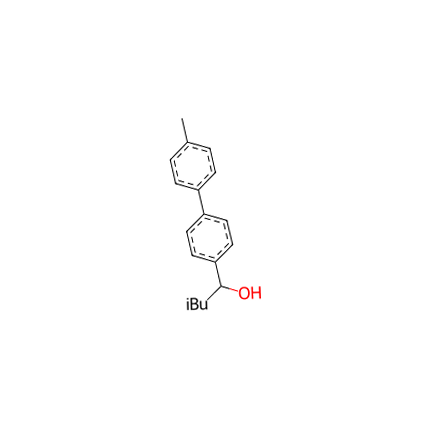 CCC(C)C(O)c1ccc(-c2ccc(C)cc2)cc1